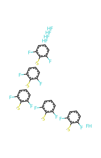 F.F.F.F.F.Fc1cccc(F)c1[S].Fc1cccc(F)c1[S].Fc1cccc(F)c1[S].Fc1cccc(F)c1[S].Fc1cccc(F)c1[S]